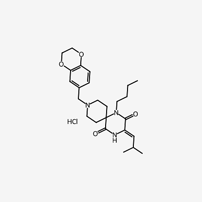 CCCCN1C(=O)C(=CC(C)C)NC(=O)C12CCN(Cc1ccc3c(c1)OCCO3)CC2.Cl